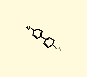 NC1C=CC(C2=CCC(N)C=C2)=CC1